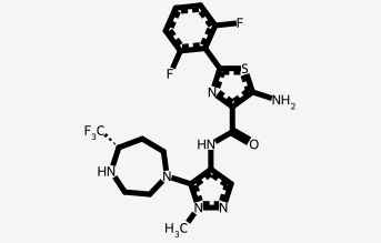 Cn1ncc(NC(=O)c2nc(-c3c(F)cccc3F)sc2N)c1N1CCN[C@H](C(F)(F)F)CC1